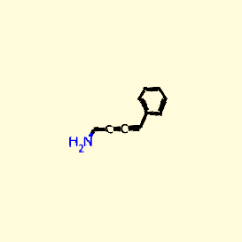 NC=C=C=Cc1ccccc1